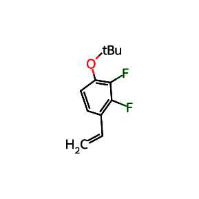 C=Cc1ccc(OC(C)(C)C)c(F)c1F